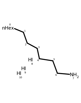 CCCCCCCCCCCCN.I.I.I